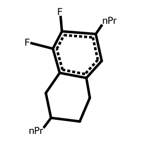 CCCc1cc2c(c(F)c1F)CC(CCC)CC2